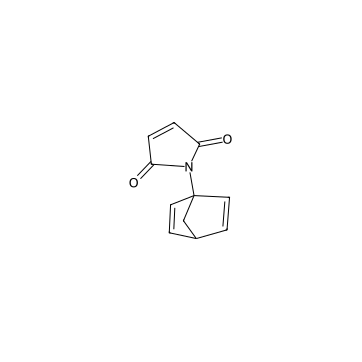 O=C1C=CC(=O)N1C12C=CC(C=C1)C2